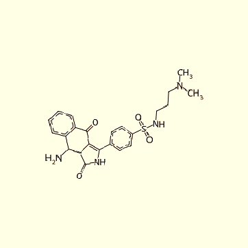 CN(C)CCCNS(=O)(=O)c1ccc(C2=C3C(=O)c4ccccc4C(N)C3C(=O)N2)cc1